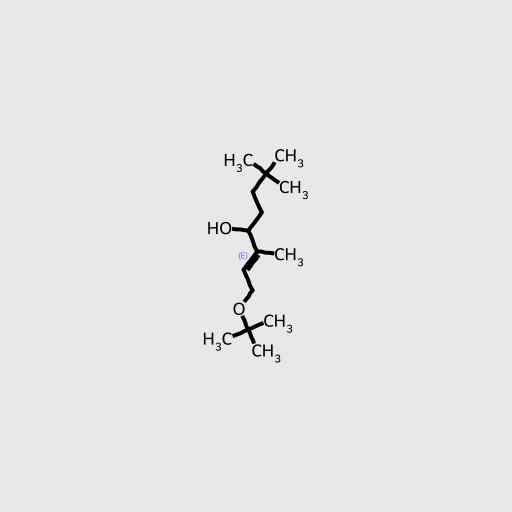 C/C(=C\COC(C)(C)C)C(O)CCC(C)(C)C